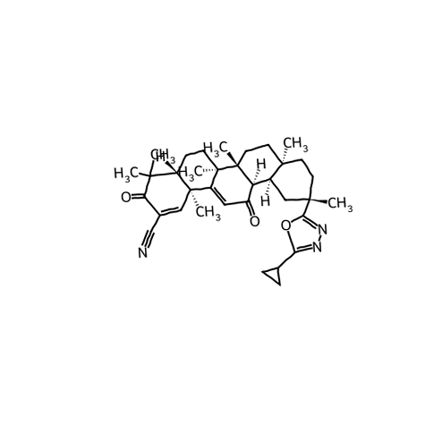 CC1(C)C(=O)C(C#N)=C[C@]2(C)C3=CC(=O)[C@@H]4[C@@H]5C[C@@](C)(c6nnc(C7CC7)o6)CC[C@]5(C)CC[C@@]4(C)[C@]3(C)CC[C@@H]12